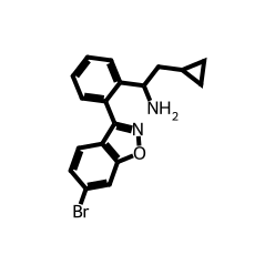 NC(CC1CC1)c1ccccc1-c1noc2cc(Br)ccc12